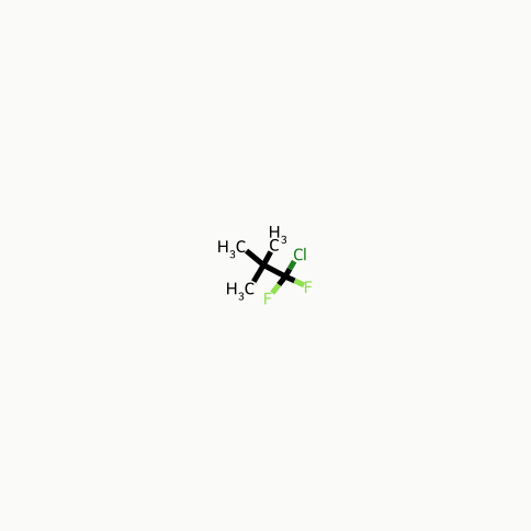 CC(C)(C)C(F)(F)Cl